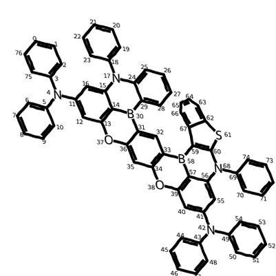 c1ccc(N(c2ccccc2)c2cc3c4c(c2)N(c2ccccc2)c2ccccc2B4c2cc4c(cc2O3)Oc2cc(N(c3ccccc3)c3ccccc3)cc3c2B4c2c(sc4ccccc24)N3c2ccccc2)cc1